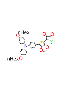 CCCCCCOc1ccc(N(c2ccc(OCCCCCC)cc2)c2ccc(-c3sc(-c4c(Cl)c(=O)c4=O)c4c3OCCO4)cc2)cc1